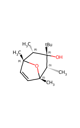 C[C@@H]1[C@@](O)(C(C)(C)C)[C@H](C)[C@]2(C)C=C[C@@]1(C)O2